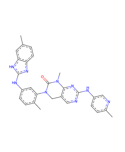 Cc1ccc2nc(Nc3ccc(C)c(N4Cc5cnc(Nc6ccc(C)nc6)nc5N(C)C4=O)c3)[nH]c2c1